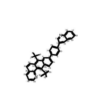 CC(C)(C)c1c2cc(-c3ccc(-c4cnc5ccccc5c4)cc3)ccc2c(C(C)(C)C)c2c1ccc1cccnc12